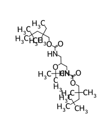 CCC(C)(COC(=O)NCC(CNC(=O)OCC(C)(C)CC(C)(C)C)OC(C)(C)C)CC(C)(C)C